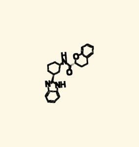 O=C(N[C@@H]1CCC[C@H](c2nc3ccccc3[nH]2)C1)[C@H]1CCc2ccccc2O1